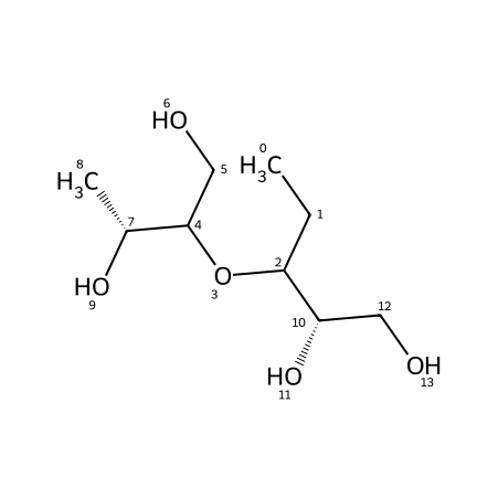 CCC(OC(CO)[C@@H](C)O)[C@@H](O)CO